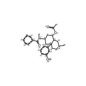 CC(=O)OC1CC(N(C)C(=O)c2ccccc2)CC2(c3cccc(O)c3)CCN(C)CC12